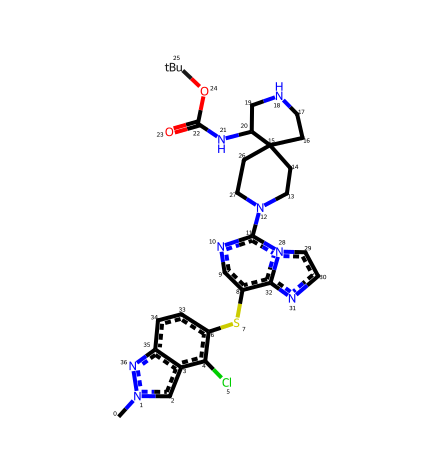 Cn1cc2c(Cl)c(Sc3cnc(N4CCC5(CCNCC5NC(=O)OC(C)(C)C)CC4)n4ccnc34)ccc2n1